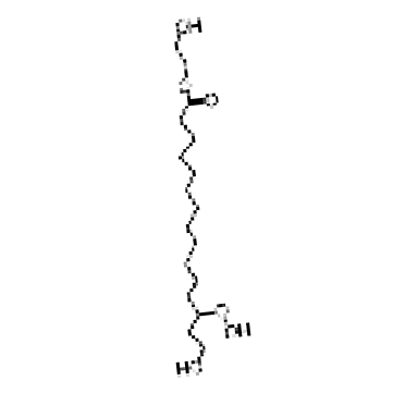 O=C(CCCCCCCCCCCC(CCO)OO)OCCO